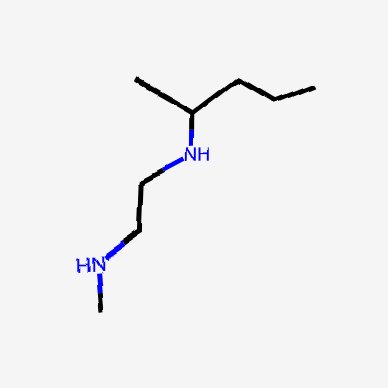 CCCC(C)NCCNC